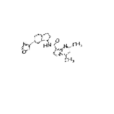 Cc1cc(C)n2ccc(C(=O)NC3CCc4ccc(-c5cocn5)cc43)c2n1